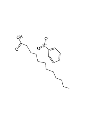 CCCCCCCCCCCC(=O)O.O=[N+]([O-])c1ccccc1